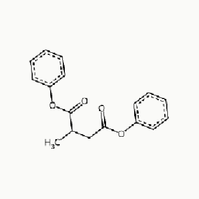 CC(CC(=O)Oc1ccccc1)C(=O)Oc1ccccc1